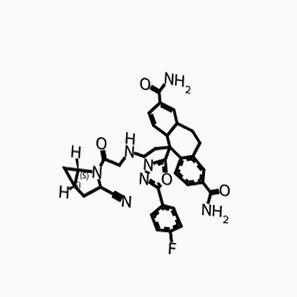 N#CC1C[C@@H]2C[C@@H]2N1C(=O)CNCCC1(c2nnc(-c3ccc(F)cc3)o2)c2ccc(C(N)=O)cc2CCC2C=C(C(N)=O)C=CC21